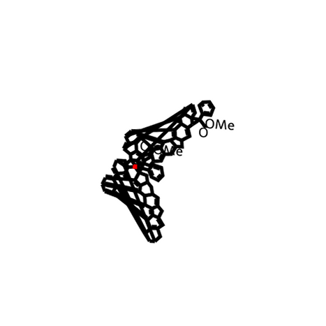 COC(=O)CCC1(c2ccccc2)C2C3=CC4C5=c6c3c3c7c8c9c%10c%11c%12c%13c%14c(cc%15c%16c(c(c6c3%10)c%11c%14%16)C5C(C%15)C4C34C=C5CC6C=C%10CC%11CC%14C=C%15c%16c%17c%18c%19c(c%10c%10c%19c%19c%20c(c%21c(c%16c%20%18)C%16(C=C%21C3)C%15C%16(C(=O)OC)c3ccccc3)C4C%19=C5C%106)C%11C=%17%14)CC%13=CC(CC8CC721)C9%12